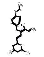 C=C/C(Cl)=C(\C=C\C1CC(O)CC(C)O1)Cc1ccc(OCC)cc1